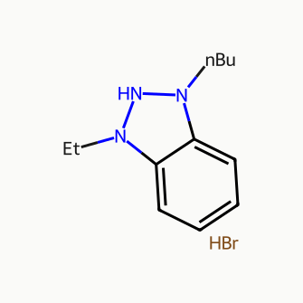 Br.CCCCN1NN(CC)c2ccccc21